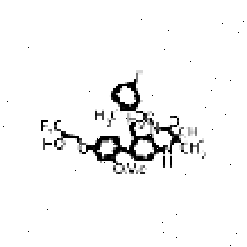 COc1cc(OCC(O)C(F)(F)F)ccc1-c1ccc2c(c1COc1cc(F)ccc1C)N(C)C(=O)C(C)(C)N2